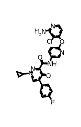 Nc1nccc(Oc2ccc(NC(=O)c3nn(C4CC4)cc(-c4ccc(F)cc4)c3=O)cn2)c1Cl